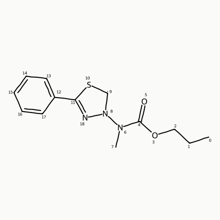 CCCOC(=O)N(C)N1[CH]SC(c2ccccc2)=N1